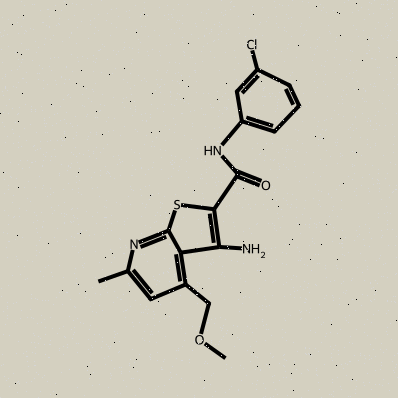 COCc1cc(C)nc2sc(C(=O)Nc3cccc(Cl)c3)c(N)c12